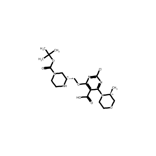 C[C@H]1COCCN1c1nc(Cl)nc(OC[C@H]2CN(C(=O)OC(C)(C)C)CCN2)c1C(=O)O